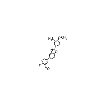 COc1ccc(-c2nc3cc(-c4ccc(F)c(C=O)c4)ccc3o2)cc1N